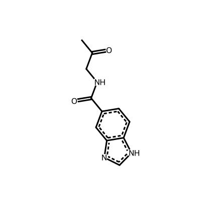 CC(=O)CNC(=O)c1ccc2[nH]cnc2c1